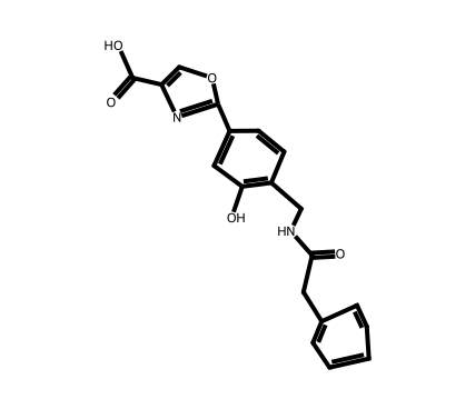 O=C(Cc1ccccc1)NCc1ccc(-c2nc(C(=O)O)co2)cc1O